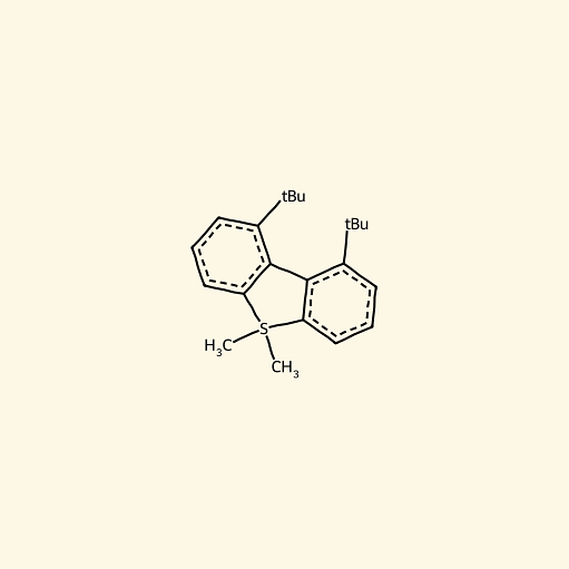 CC(C)(C)c1cccc2c1-c1c(C(C)(C)C)cccc1S2(C)C